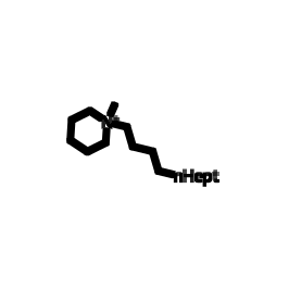 CCCCCCCCCCC[N+]1(C)CCCCC1